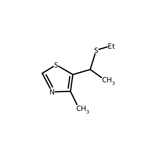 [CH2]CSC(C)c1scnc1C